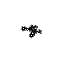 CC(C)(C)OC(=O)N1C[C@H](OCc2ccccc2)C[C@@H]1[C@@H](O)[C@H](Cc1ccccc1)NC(=O)OCC[Si](C)(C)C